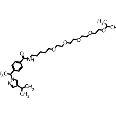 CC(C)OCCOCCOCCOCCOCCCCCNC(=O)c1ccc(C(C)n2cc(C(C)C)cn2)cc1